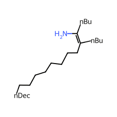 CCCCCCCCCCCCCCCCCCC(CCCC)=C(N)CCCC